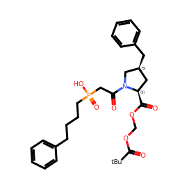 CC(C)(C)C(=O)OCOC(=O)[C@@H]1C[C@H](Cc2ccccc2)CN1C(=O)CP(=O)(O)CCCCc1ccccc1